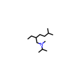 CCC(CCC(C)C)CN(C)C(C)C